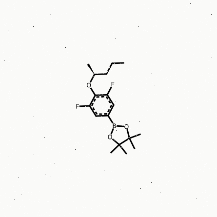 CCC[C@H](C)Oc1c(F)cc(B2OC(C)(C)C(C)(C)O2)cc1F